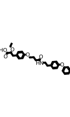 CCOC(Cc1ccc(OCCCC(=O)NCCc2ccc(Oc3ccccc3)cc2)cc1)C(=O)O